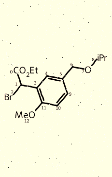 CCOC(=O)C(Br)c1cc(COC(C)C)ccc1OC